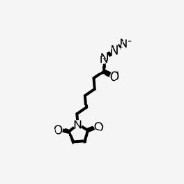 [N-]=[N+]=NC(=O)CCCCCN1C(=O)CCC1=O